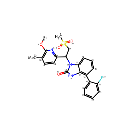 CCOc1nc(C(CS(C)(=O)=O)n2c(=O)[nH]c3c(-c4ccccc4F)cccc32)ccc1OC